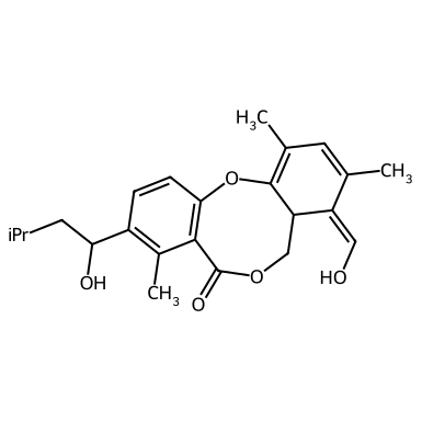 CC1=CC(C)=C2Oc3ccc(C(O)CC(C)C)c(C)c3C(=O)OCC2C1=CO